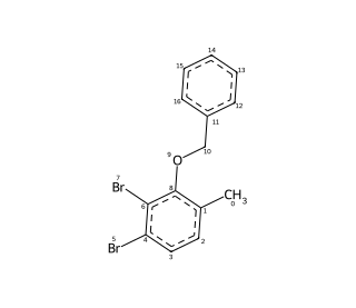 Cc1ccc(Br)c(Br)c1OCc1ccccc1